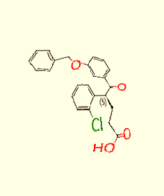 O=C(O)CC[C@H](C(=O)c1cccc(OCc2ccccc2)c1)c1ccccc1Cl